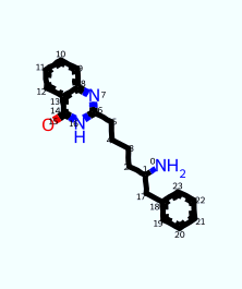 NC(CCCCc1nc2ccccc2c(=O)[nH]1)Cc1ccccc1